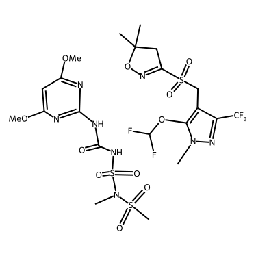 COc1cc(OC)nc(NC(=O)NS(=O)(=O)N(C)S(C)(=O)=O)n1.Cn1nc(C(F)(F)F)c(CS(=O)(=O)C2=NOC(C)(C)C2)c1OC(F)F